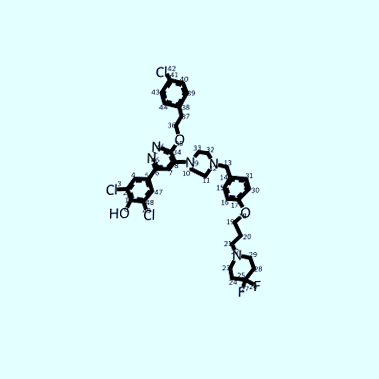 Oc1c(Cl)cc(-c2cc(N3CCN(Cc4ccc(OCCCN5CCC(F)(F)CC5)cc4)CC3)c(OCCc3ccc(Cl)cc3)nn2)cc1Cl